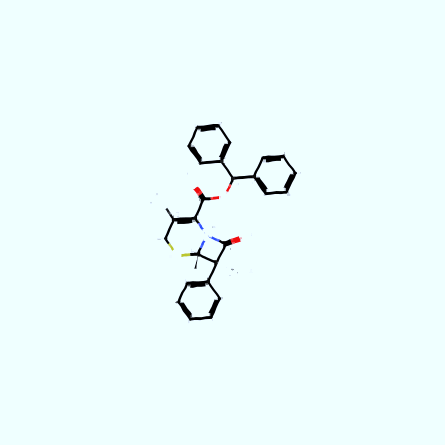 CC(=O)N[C@@]1(c2ccccc2)C(=O)N2C(C(=O)OC(c3ccccc3)c3ccccc3)=C(C=O)CS[C@H]21